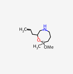 C=CCC1CNCCC[Si](C)(OC)O1